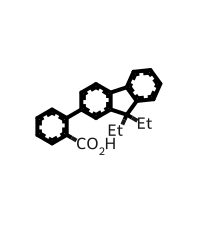 CCC1(CC)c2ccccc2-c2ccc(-c3ccccc3C(=O)O)cc21